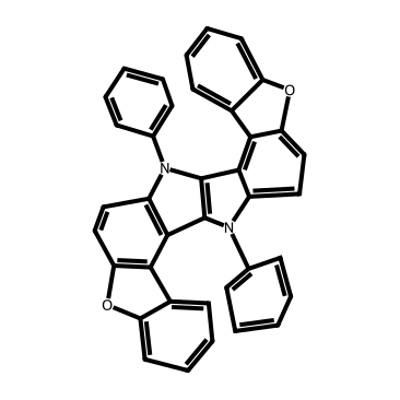 c1ccc(-n2c3ccc4oc5ccccc5c4c3c3c2c2c4c(ccc2n3-c2ccccc2)oc2ccccc24)cc1